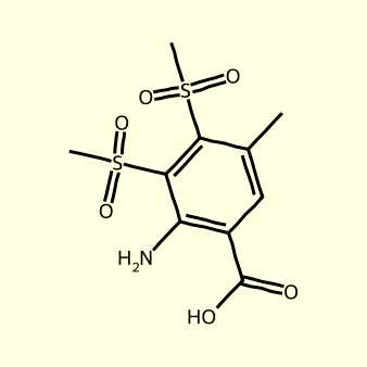 Cc1cc(C(=O)O)c(N)c(S(C)(=O)=O)c1S(C)(=O)=O